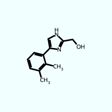 Cc1cccc(-c2c[nH]c(CO)n2)c1C